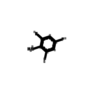 Fc1cc(F)c([SiH3])c(F)c1